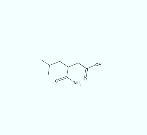 CC(C)CC(CC(=O)O)C(N)=O